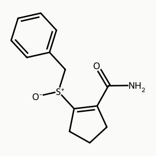 NC(=O)C1=C([S+]([O-])Cc2ccccc2)CCC1